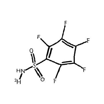 [2H]NS(=O)(=O)c1c(F)c(F)c(F)c(F)c1F